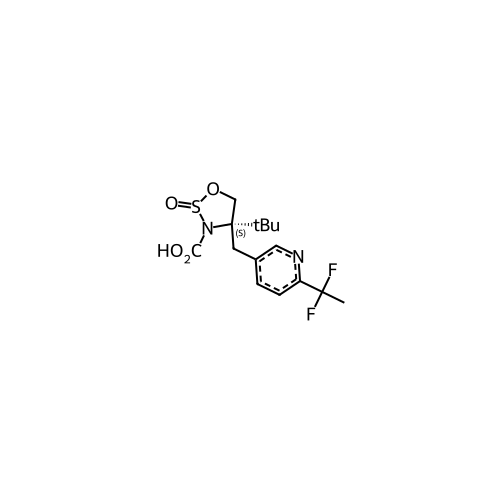 CC(F)(F)c1ccc(C[C@]2(C(C)(C)C)COS(=O)N2C(=O)O)cn1